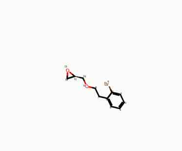 Brc1ccccc1CCOC[C@H]1CO1